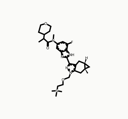 CC(C(=O)N(C)c1cc(F)c2[nH]c(-c3nn(COCC[Si](C)(C)C)c4c3C[C@@H]3C[C@]3(C)C4)nc2c1)C1CCOCC1